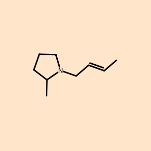 CC=CCN1CCCC1C